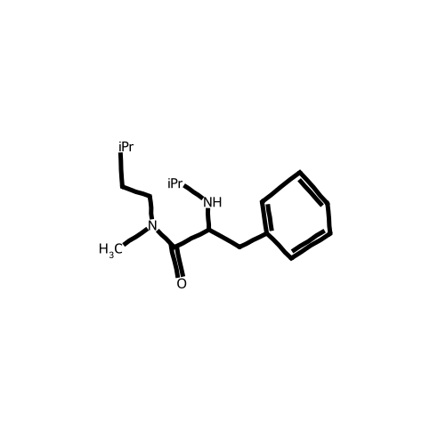 CC(C)CCN(C)C(=O)C(Cc1ccccc1)NC(C)C